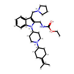 CCOC(=O)NCc1c(CN2CCCC2)c2ccccc2n1C1CCN(C2CCC(=C(C)C)CC2)CC1